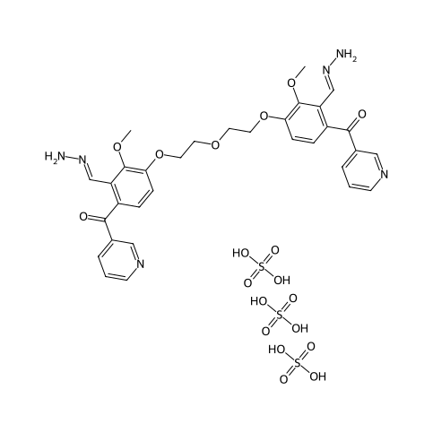 COc1c(OCCOCCOc2ccc(C(=O)c3cccnc3)c(C=NN)c2OC)ccc(C(=O)c2cccnc2)c1C=NN.O=S(=O)(O)O.O=S(=O)(O)O.O=S(=O)(O)O